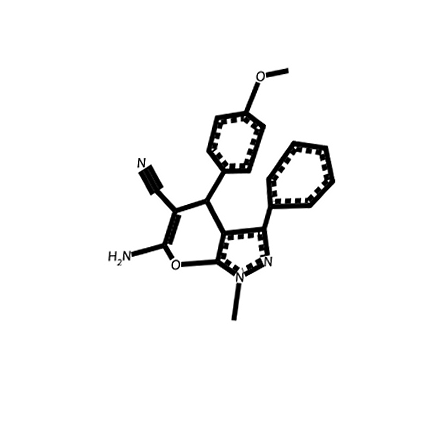 COc1ccc(C2C(C#N)=C(N)Oc3c2c(-c2ccccc2)nn3C)cc1